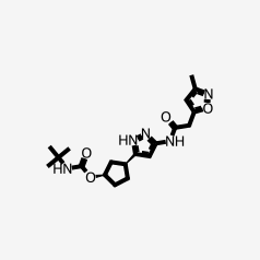 Cc1cc(CC(=O)Nc2cc([C@H]3CC[C@@H](OC(=O)NC(C)(C)C)C3)[nH]n2)on1